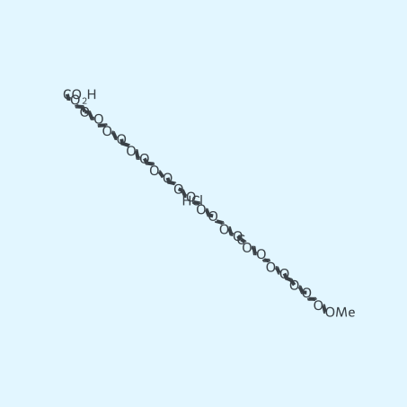 COCCOCCOCCOCCOCCOCCOCCOCCOCCOCCOCCOCCOCCOCCOCCOCCOCCOCCOCCOCCOCCOCCOCC(=O)O.Cl